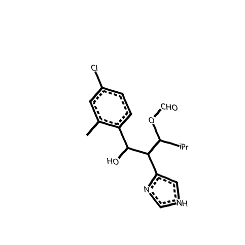 Cc1cc(Cl)ccc1C(O)C(c1c[nH]cn1)C(OC=O)C(C)C